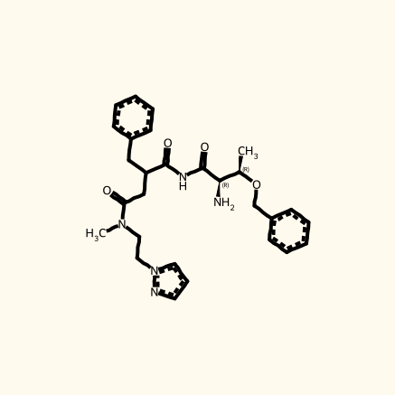 C[C@@H](OCc1ccccc1)[C@@H](N)C(=O)NC(=O)C(CC(=O)N(C)CCn1cccn1)Cc1ccccc1